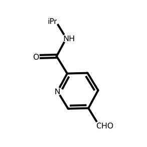 CC(C)NC(=O)c1ccc(C=O)cn1